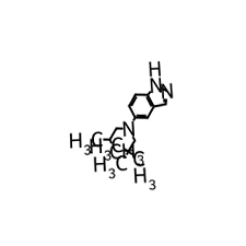 CC(C)CN(CC(C)(C)C)c1ccc2[nH]ncc2c1